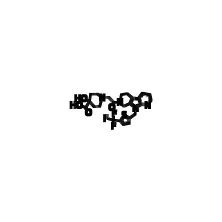 O=C(CN1CCC(O)(C(=O)O)CC1)N1CCc2c(n(Cc3ccc(C(F)(F)F)s3)c3ncccc23)C1